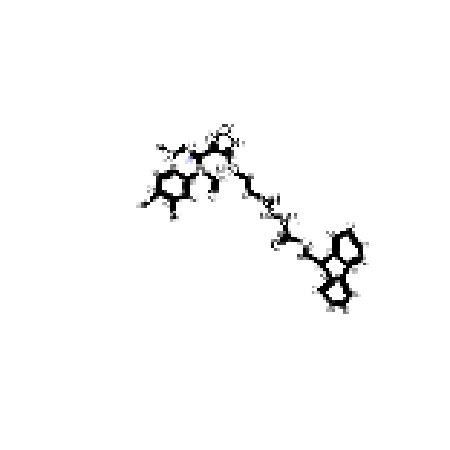 CO/N=C(/c1nonc1NCCNSNC(=O)OCC1c2ccccc2-c2ccccc21)N(C=O)c1ccc(F)c(Br)c1